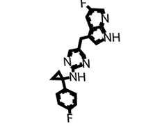 Fc1ccc(C2(Nc3ncc(Cc4c[nH]c5ncc(F)cc45)cn3)CC2)cc1